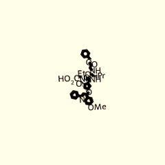 CC[C@H](NC(=O)[C@H]1C[C@H](Oc2cc(-c3ccccc3)nc3cc(OC)ccc23)C=C1C(=O)N[C@@H](C(=O)NCC(=O)OCC1CCCCC1)C(C)C)C(=O)O